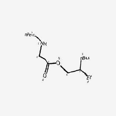 CCCCCNCC(=O)OCC(CC)CCCC